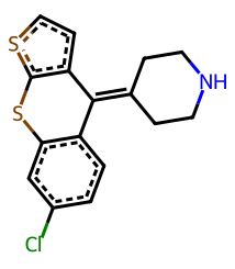 Clc1ccc2c(c1)Sc1sccc1C2=C1CCNCC1